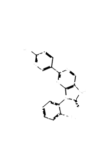 O=c1[nH]c2cnc(-c3ccc(O)nc3)nc2n1-c1ccccc1C(F)(F)F